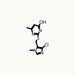 Cc1cc(O)nc(SCc2c(Cl)ncn2C)n1